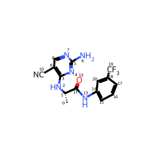 C[C@H](Nc1nc(N)ncc1C#N)C(=O)Nc1cccc(C(F)(F)F)c1